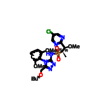 CC[C@H](C)OCc1nnc(NS(=O)(=O)[C@@H](C)[C@H](OC)c2ncc(Cl)cn2)n1-c1c(OC)cccc1OC